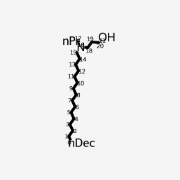 CCCCCCCCCCCCCCCCCCCCCCCCCN(CCC)CCCO